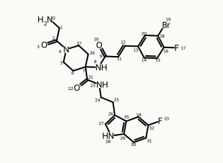 NCC(=O)N1CCC(NC(=O)/C=C/c2ccc(F)c(Br)c2)(C(=O)NCCc2c[nH]c3ccc(F)cc23)CC1